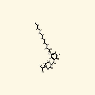 CCCCCCCCCCCCOc1cccc(CN2CCN(C(C)C)CC2)c1